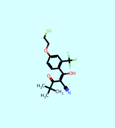 CC(C)(C)C(=O)C(C#N)=C(O)c1ccc(OCCS)cc1C(F)(F)F